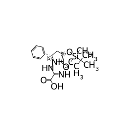 CC(C)(C)[Si](C)(C)O[C@H]1C[C@@H](c2ccccc2)N(NC(=N)C(=O)O)C1=O